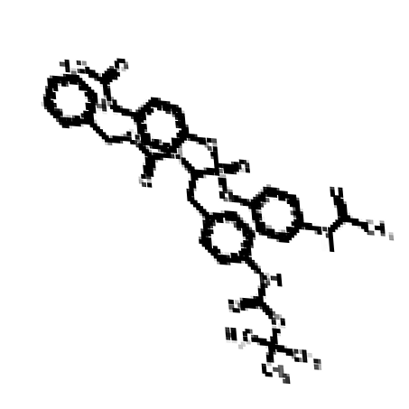 CC(=O)Nc1ccc(OP(=O)(Oc2ccc(NC(C)=O)cc2)C(Cc2ccc(NC(=O)OC(C)(C)C)cc2)NC(=O)OCc2ccccc2)cc1